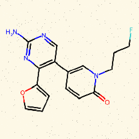 Nc1ncc(-c2ccc(=O)n(CCCF)c2)c(-c2ccco2)n1